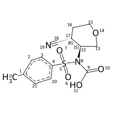 Cc1ccc(S(=O)(=O)N(C(=O)O)[C@@H]2COCC[C@H]2C#N)cc1